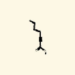 [CH2]CCCC#CC(=O)OC